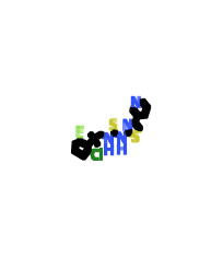 CC(C)(CNC(=S)Nc1nc(-c2cccnc2)cs1)c1c(F)cccc1Cl